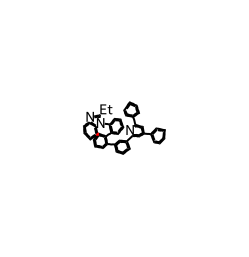 CCc1nc2ccccc2n1-c1ccccc1-c1ccccc1-c1cccc(-c2cc(-c3ccccc3)cc(-c3ccccc3)n2)c1